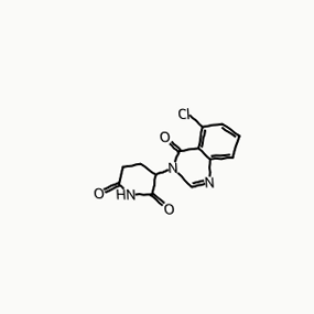 O=C1CCC(n2cnc3cccc(Cl)c3c2=O)C(=O)N1